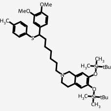 COc1ccc(C(CCCCCCN2CCc3cc(O[Si](C)(C)C(C)(C)C)c(O[Si](C)(C)C(C)(C)C)cc3C2)Sc2ccc(C)cc2)cc1OC